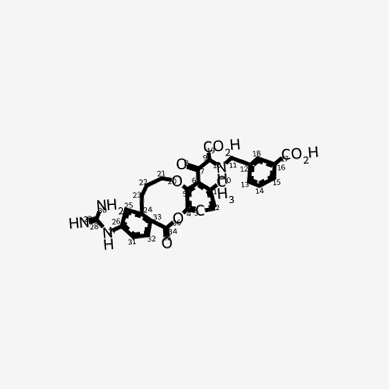 Cc1ccc2c(c1C(=O)C(NCc1cccc(C(=O)O)c1)C(=O)O)OCCCc1cc(NC(=N)N)ccc1C(=O)O2